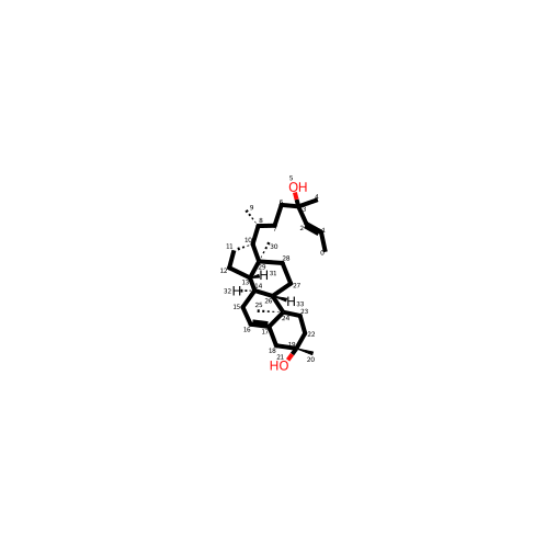 C/C=C/C(C)(O)CC[C@@H](C)[C@H]1CC[C@H]2[C@@H]3CC=C4C[C@@](C)(O)CC[C@]4(C)[C@H]3CC[C@]12C